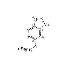 [CH2]CCCCCc1ccc2ocnc2c1